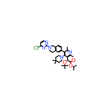 Cc1nc(C)c(C(OC(C)(C)C)C(=O)OC(C)C)c(N2CCC(C)(C)CC2)c1-c1ccc2c(c1)CCN(c1nccc(Cl)n1)C2